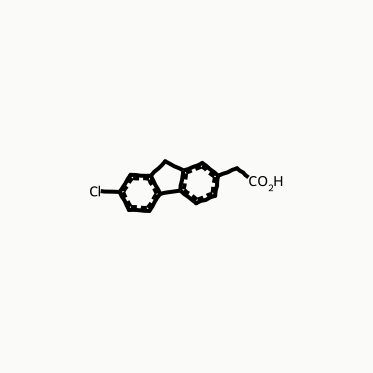 O=C(O)Cc1ccc2c(c1)Cc1cc(Cl)ccc1-2